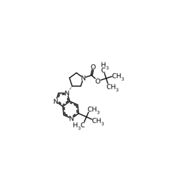 CC(C)(C)OC(=O)N1CC[C@@H](n2cnc3cnc(C(C)(C)C)cc32)C1